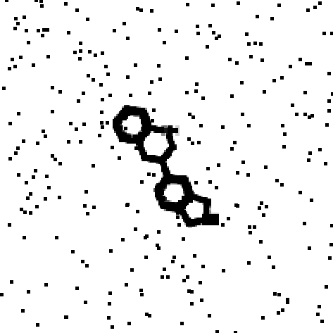 c1ccc2c(c1)CC(c1ccc3c(c1)CNC3)CN2